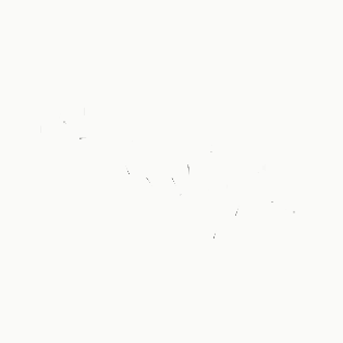 CC[Si](CC)(CC)O[C@H]1CCC(C)[C@@H](CC[C@@H]2CCC[C@]3(C)C4[C@H](C)C[C@H]([C@H](O)C(C)(C)O)O[C@@H]4[C@H](O[Si](CC)(CC)CC)[C@@]23C)C1(C)C